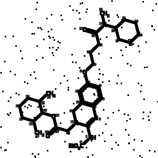 CCOC(=O)NC1=Nc2ccc(OCCCC(=O)N(C)C3CCCCC3)cc2CN1CC(=O)OC1C(C)CCCC1C